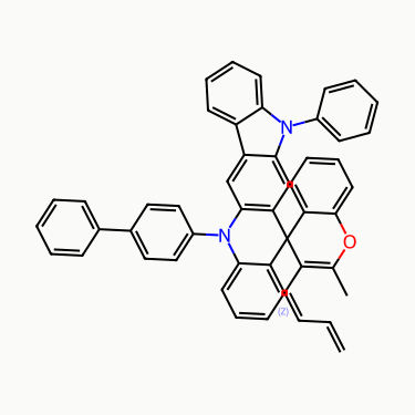 C=C/C=C\C1=C(C)Oc2ccccc2C12c1ccccc1N(c1ccc(-c3ccccc3)cc1)c1cc3c4ccccc4n(-c4ccccc4)c3cc12